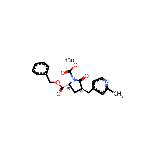 Cc1cc(C[C@H]2C[C@H](C(=O)OCc3ccccc3)N(C(=O)OC(C)(C)C)C2=O)ccn1